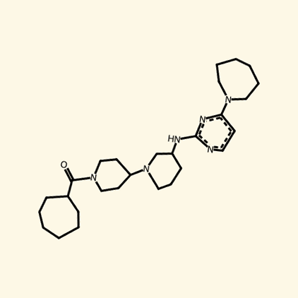 O=C(C1CCCCCC1)N1CCC(N2CCCC(Nc3nccc(N4CCCCCC4)n3)C2)CC1